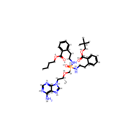 CCCCOC(=O)c1ccccc1CCN[P@](=O)(CO[C@H](C)Cn1cnc2c(N)ncnc21)NCCc1ccccc1C(=O)OCC(C)(C)C